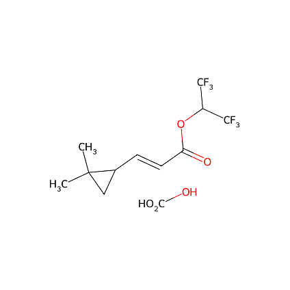 CC1(C)CC1C=CC(=O)OC(C(F)(F)F)C(F)(F)F.O=C(O)O